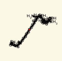 CCc1c2c(nc3ccc(O)cc13)-c1cc3c(c(=O)n1C2)COC(=O)C3(CC)OC(=O)OCC(NC(=O)C(CCCCN)CC(=O)COCC(=O)CCCOCCOCCOCCOCCOCCOCCOCCOCCn1cc(CCC(=O)C2CCC(CN3C(=O)CC(C)C3=O)CC2)nn1)C(C)C